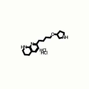 Cl.Cl.c1cc2c(nc1CCCCOC1CCNC1)NCCC2